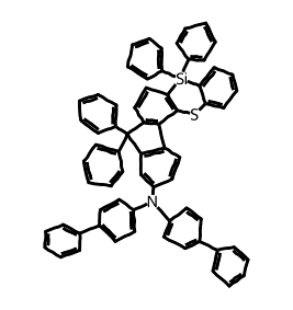 c1ccc(-c2ccc(N(c3ccc(-c4ccccc4)cc3)c3ccc4c(c3)C(c3ccccc3)(c3ccccc3)c3ccc5c(c3-4)Sc3ccccc3[Si]5(c3ccccc3)c3ccccc3)cc2)cc1